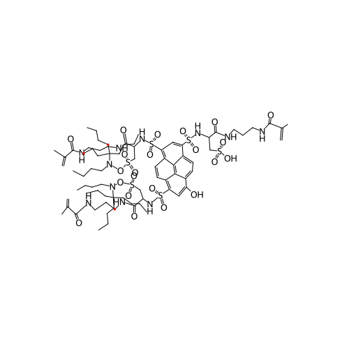 C=C(C)C(=O)NCCCNC(=O)C(CS(=O)(=O)ON(CCCC)C(CCC)(CCCC)CCCC)NS(=O)(=O)c1cc(O)c2ccc3c(S(=O)(=O)NC(CS(=O)(=O)O)C(=O)NCCCNC(=O)C(=C)C)cc(S(=O)(=O)NC(CS(=O)(=O)ON(CCCC)C(CCC)(CCCC)CCCC)C(=O)NCCCNC(=O)C(=C)C)c4ccc1c2c34